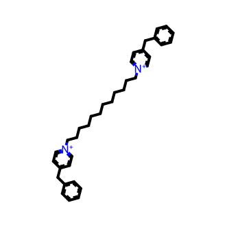 c1ccc(Cc2cc[n+](CCCCCCCCCCCC[n+]3ccc(Cc4ccccc4)cc3)cc2)cc1